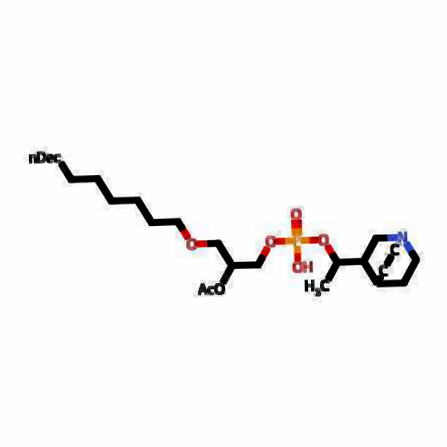 CCCCCCCCCCCCCCCCOCC(COP(=O)(O)OC(C)C1CN2CCC1CC2)OC(C)=O